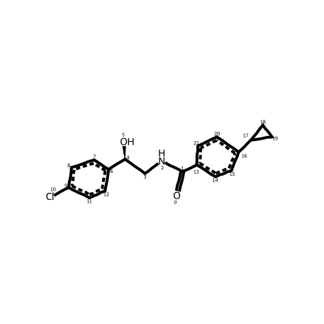 O=C(NC[C@H](O)c1ccc(Cl)cc1)c1ccc(C2CC2)cc1